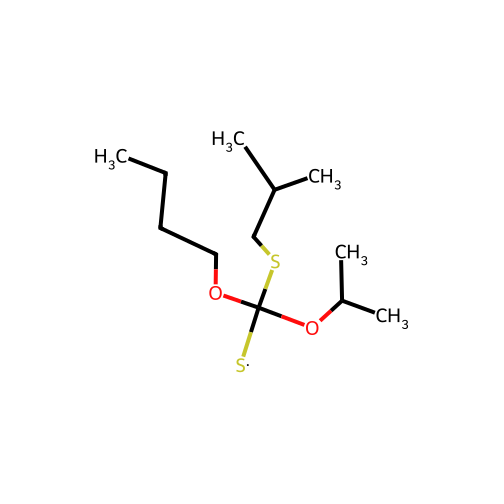 CCCCOC([S])(OC(C)C)SCC(C)C